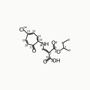 CCC(C)OC(=O)C(=CNc1ccc(Cl)ccc1=O)C(=O)O